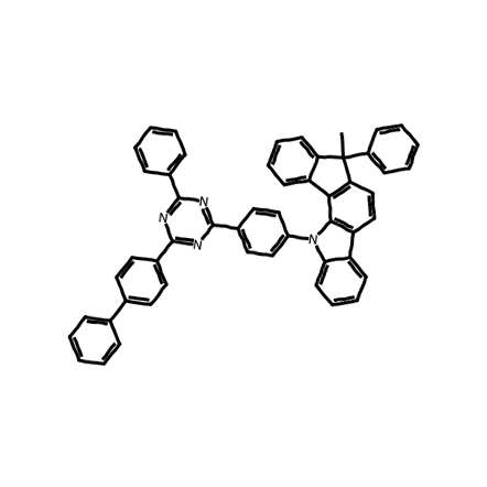 CC1(c2ccccc2)c2ccccc2-c2c1ccc1c3ccccc3n(-c3ccc(-c4nc(-c5ccccc5)nc(-c5ccc(-c6ccccc6)cc5)n4)cc3)c21